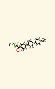 CCCC(F)(F)C(=O)c1ccc(C2CCC([C@H]3CC[C@H](CC)CC3)CC2)cc1